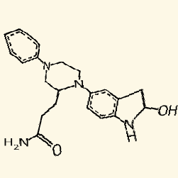 NC(=O)CCC1CN(c2ccccc2)CCN1c1ccc2c(c1)CC(O)N2